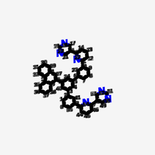 c1cc(-c2cc(-c3cccc(-c4cccc(-c5cncnc5)n4)c3)cc(-c3cc4ccccc4c4ccccc34)c2)cc(-c2cccc(-c3cncnc3)n2)c1